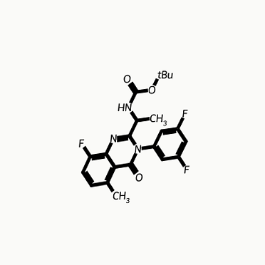 Cc1ccc(F)c2nc(C(C)NC(=O)OC(C)(C)C)n(-c3cc(F)cc(F)c3)c(=O)c12